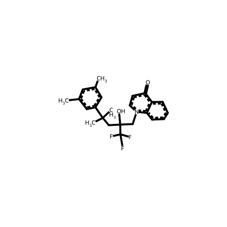 Cc1cc(C)cc(C(C)(C)CC(O)(Cn2ccc(=O)c3ccccc32)C(F)(F)F)c1